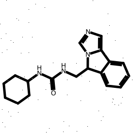 O=C(NCC1c2ccccc2-c2cncn21)NC1CCCCC1